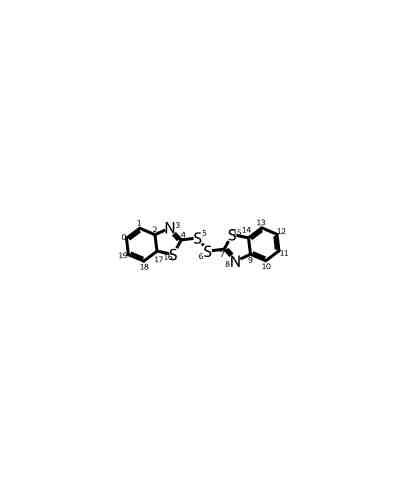 C1=CC2N=C(SSc3nc4ccccc4s3)SC2C=C1